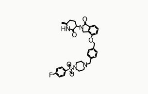 C=C1CCC(N2Cc3c(OCc4ccc(CN5CCN(S(=O)(=O)c6ccc(F)cc6)CC5)cc4)cccc3C2=O)C(=O)N1